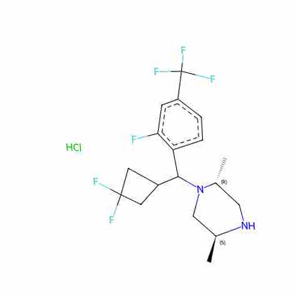 C[C@@H]1CN[C@@H](C)CN1C(c1ccc(C(F)(F)F)cc1F)C1CC(F)(F)C1.Cl